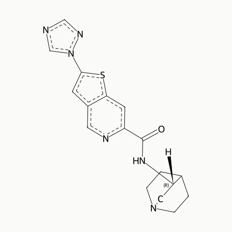 O=C(N[C@H]1CN2CCC1CC2)c1cc2sc(-n3cncn3)cc2cn1